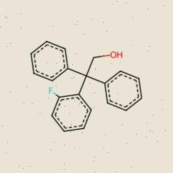 OCC(c1ccccc1)(c1ccccc1)c1ccccc1F